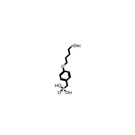 CCCCCCCCCCCCCCOc1ccc(CP(=O)(O)O)cc1